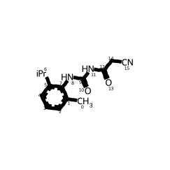 Cc1cccc(C(C)C)c1NC(=O)NC(=O)CC#N